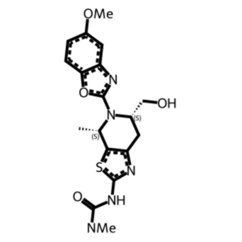 CNC(=O)Nc1nc2c(s1)[C@H](C)N(c1nc3cc(OC)ccc3o1)[C@H](CO)C2